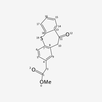 COC(=O)Cc1ccc2c(c1)CC(=O)c1ccccc1S2